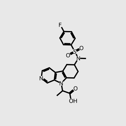 CC(C(=O)O)n1c2c(c3ccncc31)CC(N(C)S(=O)(=O)c1ccc(F)cc1)CC2